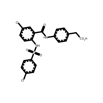 O=C(O)Cc1ccc(NC(=O)c2cc(Cl)ccc2NS(=O)(=O)c2ccc(Cl)cc2)cc1